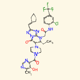 CCc1c(N2CCN(C(=O)c3ncnc(C)c3O)CC2)c(=O)n2nc(C=C3CCCC3)nc2n1CC(=O)Nc1ccc(C(F)(F)F)cc1Cl